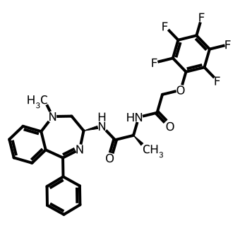 C[C@H](NC(=O)COc1c(F)c(F)c(F)c(F)c1F)C(=O)N[C@@H]1CN(C)c2ccccc2C(c2ccccc2)=N1